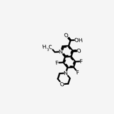 CCn1cc(C(=O)O)c(=O)c2c(F)c(F)c(N3CCOCC3)c(F)c21